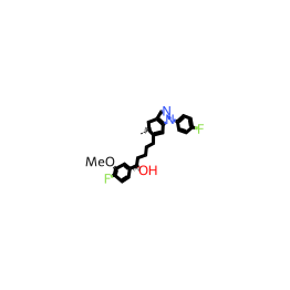 COc1cc([C@H](O)CCCCC2=Cc3c(cnn3-c3ccc(F)cc3)C[C@H]2C)ccc1F